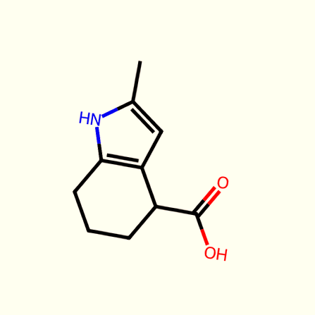 Cc1cc2c([nH]1)CCCC2C(=O)O